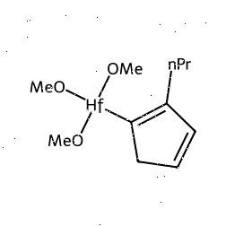 CCCC1=[C]([Hf]([O]C)([O]C)[O]C)CC=C1